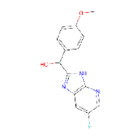 COc1ccc(C(O)c2nc3cc(F)cnc3[nH]2)cc1